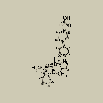 Cc1ccn(-c2ccc(-c3ccc(CC(=O)O)cc3)cc2)c1NC(=O)OC(C)c1ccccc1